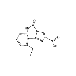 CCc1cccc2[nH]c(=O)n3nc(C(=O)O)nc3c12